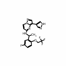 CC(Nc1ccn2ncc(-c3cn[nH]c3)c2n1)c1cc(F)ccc1OCC(F)(F)F